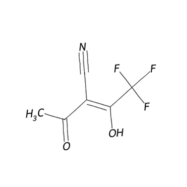 CC(=O)/C(C#N)=C(\O)C(F)(F)F